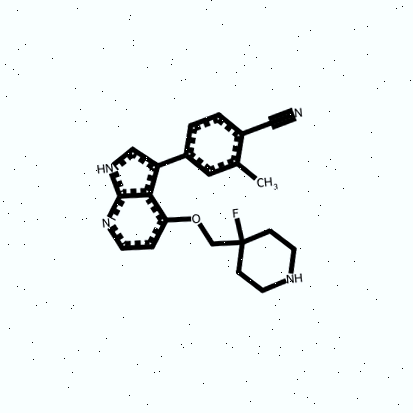 Cc1cc(-c2c[nH]c3nccc(OCC4(F)CCNCC4)c23)ccc1C#N